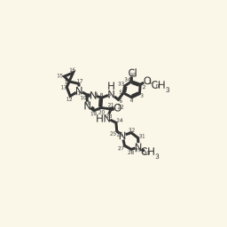 COc1ccc(CNc2nc(N3CCC4(CC4)C3)ncc2C(=O)NCCN2CCN(C)CC2)cc1Cl